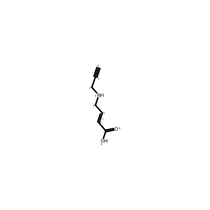 C#CCNC/C=C/C(=O)O